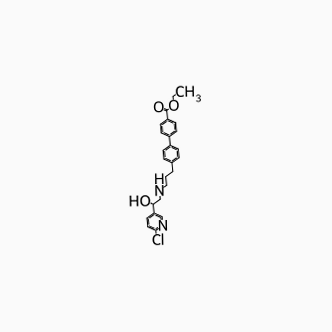 CCOC(=O)c1ccc(-c2ccc(CCCNC[C@H](O)c3ccc(Cl)nc3)cc2)cc1